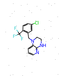 FC(F)(F)c1ccc(Cl)cc1CN1CCNc2nc[c]cc21